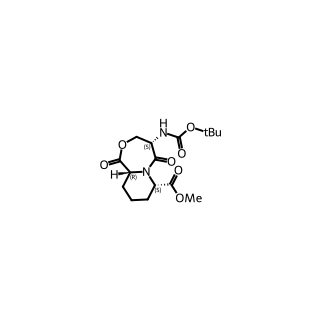 COC(=O)[C@@H]1CCC[C@@H]2C(=O)OC[C@H](NC(=O)OC(C)(C)C)C(=O)N21